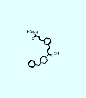 Cl.O=C(C=Cc1cccc(C=CC(=O)N2CCN(Cc3ccccc3)CC2)n1)NO